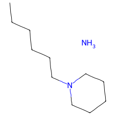 CCCCCCN1CCCCC1.N